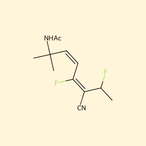 CC(=O)NC(C)(C)/C=C\C(F)=C(\C#N)C(C)F